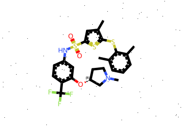 Cc1cc(S(=O)(=O)Nc2ccc(C(F)(F)F)c(O[C@@H]3CCN(C)C3)c2)sc1Sc1c(C)cccc1C